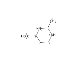 CC1NCCC(C(=O)O)N1